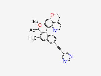 CC(=O)[C@@H](OC(C)(C)C)c1c(C)cc2cc(C#Cc3cncnc3)ccc2c1-c1ccc2c3c(ccnc13)CCO2